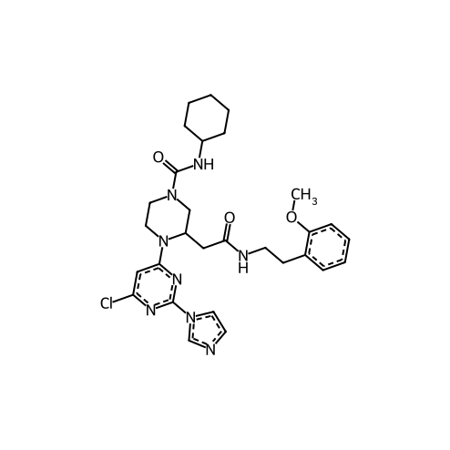 COc1ccccc1CCNC(=O)CC1CN(C(=O)NC2CCCCC2)CCN1c1cc(Cl)nc(-n2ccnc2)n1